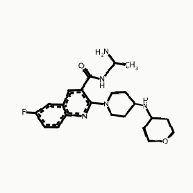 CC(N)NC(=O)c1cc2cc(F)ccc2nc1N1CCC(NC2CCOCC2)CC1